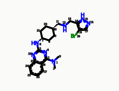 CN(C)c1nc(N[C@H]2CC[C@@H](CNCc3[nH]ncc3Br)CC2)nc2ccccc12